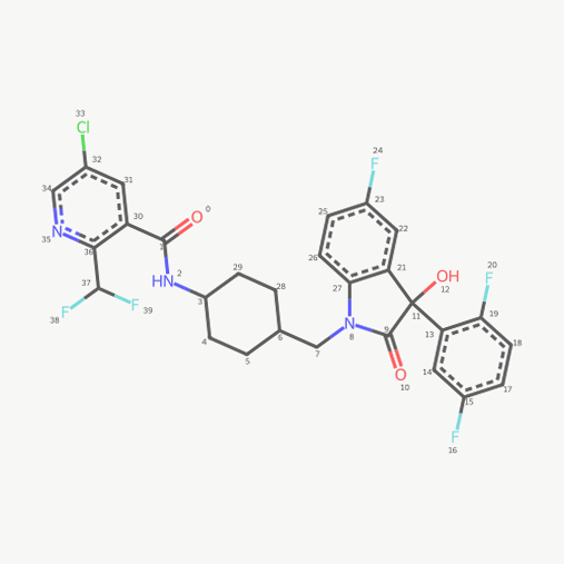 O=C(NC1CCC(CN2C(=O)C(O)(c3cc(F)ccc3F)c3cc(F)ccc32)CC1)c1cc(Cl)cnc1C(F)F